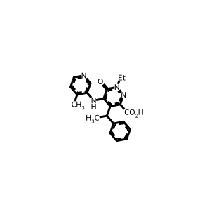 CCn1nc(C(=O)O)c(C(C)c2ccccc2)c(Nc2cnccc2C)c1=O